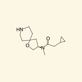 CN(C(=O)CC1CC1)[C@H]1COC2(CCNCC2)C1